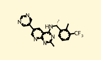 Cc1nc(N[C@H](C)c2cccc(C(F)(F)F)c2C)c2cc(-c3cncnc3)cnc2n1